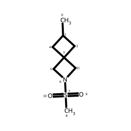 CC1CC2(C1)CN(S(C)(=O)=O)C2